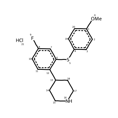 COc1ccc(Sc2cc(F)ccc2C2CCNCC2)cc1.Cl